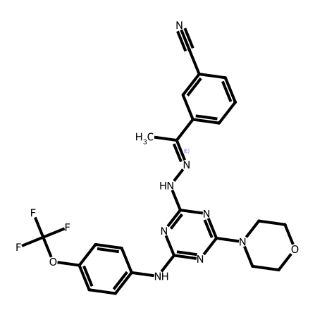 C/C(=N\Nc1nc(Nc2ccc(OC(F)(F)F)cc2)nc(N2CCOCC2)n1)c1cccc(C#N)c1